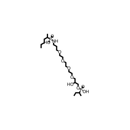 CCCCC(C)P(=O)(O)NCCCOCCOCCOCCOCC(O)COP(=O)(O)C(C)CC